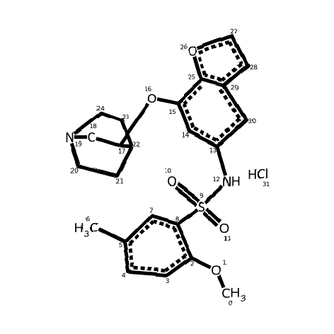 COc1ccc(C)cc1S(=O)(=O)Nc1cc(OC2CN3CCC2CC3)c2occc2c1.Cl